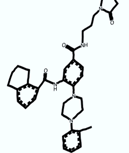 Cc1ccccc1N1CCN(c2ccc(C(=O)NCCCN3CCCC3=O)cc2NC(=O)c2cccc3c2CCCC3)CC1